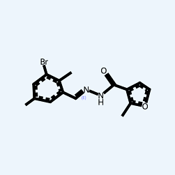 Cc1cc(Br)c(C)c(/C=N/NC(=O)c2ccoc2C)c1